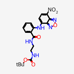 CC(C)(C)OC(=O)NCCNC(=O)c1ccccc1Nc1ccc([N+](=O)[O-])c2nonc12